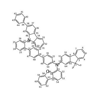 CC1(C)c2ccccc2-c2ccc(N(c3ccc(-c4ccc(-c5ccccc5-n5c6ccccc6c6ccc(-c7ccccc7)cc65)cc4)cc3)c3cccc4c3oc3ccccc34)cc21